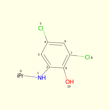 CC(C)Nc1cc(Cl)cc(Cl)c1O